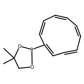 CC1(C)COB(c2ccccccccc2)O1